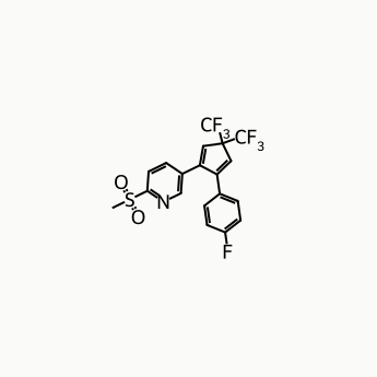 CS(=O)(=O)c1ccc(C2=CC(C(F)(F)F)(C(F)(F)F)C=C2c2ccc(F)cc2)cn1